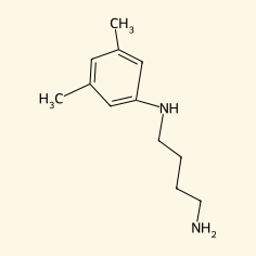 Cc1cc(C)cc(NCCCCN)c1